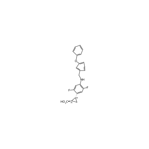 O=C(O)[C@@H]1C[C@H]1c1cc(F)c(NCc2cccc(Oc3ccccc3)c2)cc1F